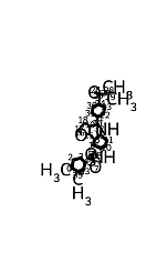 Cc1ccc(S(=O)(=O)Nc2ccc3c(c2)C2OCCC2C(c2ccc(C(=O)C(C)C)cc2)N3)cc1C